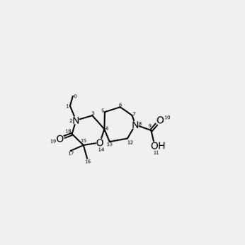 CCN1CC2(CCCN(C(=O)O)CC2)OC(C)(C)C1=O